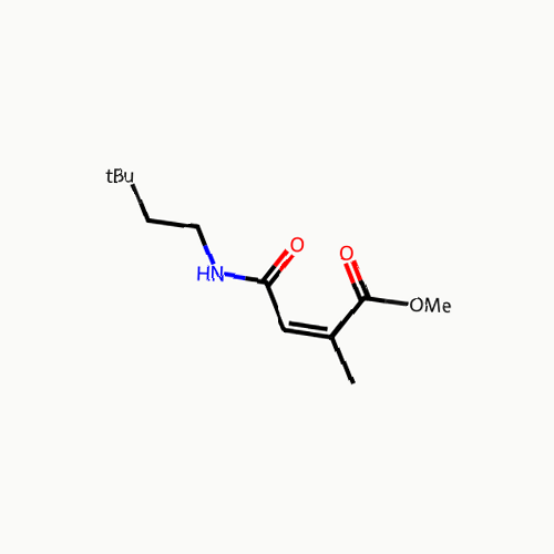 COC(=O)/C(C)=C\C(=O)NCCC(C)(C)C